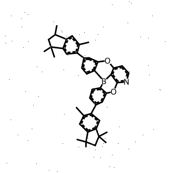 Cc1cc2c(cc1-c1ccc3c(c1)Oc1ccnc4c1B3c1ccc(-c3cc5c(cc3C)C(C)(C)CC5(C)C)cc1O4)C(C)(C)CC2C